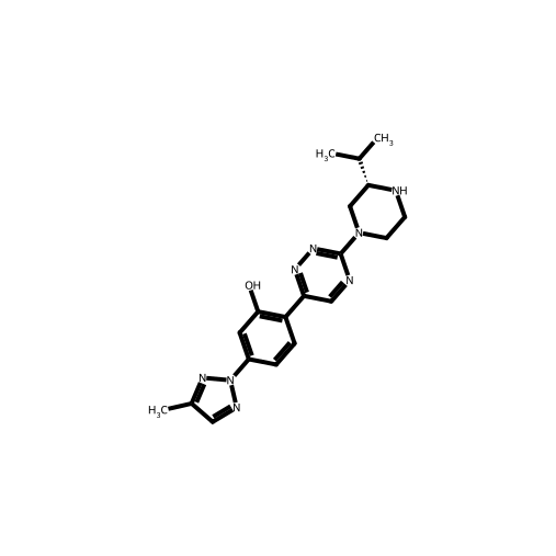 Cc1cnn(-c2ccc(-c3cnc(N4CCN[C@@H](C(C)C)C4)nn3)c(O)c2)n1